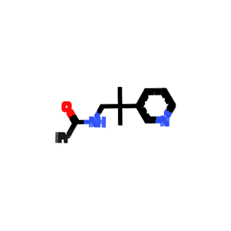 CC(C)C(=O)NCC(C)(C)c1cccnc1